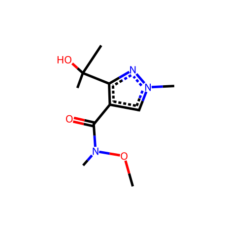 CON(C)C(=O)c1cn(C)nc1C(C)(C)O